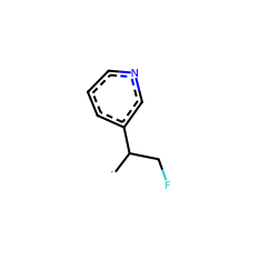 [CH2]C(CF)c1cccnc1